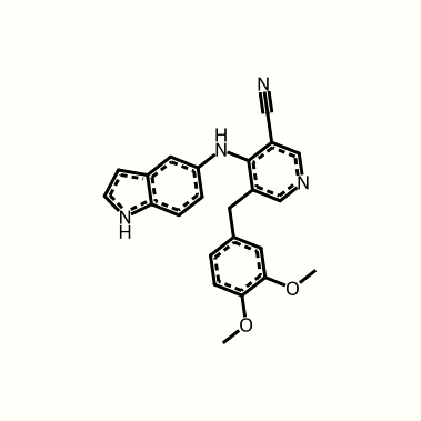 COc1ccc(Cc2cncc(C#N)c2Nc2ccc3[nH]ccc3c2)cc1OC